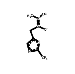 C[N+](C#N)=S([O-])Cc1cnc(C(F)(F)F)s1